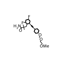 COCCOCOc1ccc(C#Cc2cc(F)cc(F)c2CC(C)(C)C(N)=O)cc1